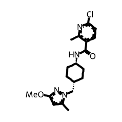 COc1cc(C)n(C[C@H]2CC[C@H](NC(=O)c3ccc(Cl)nc3C)CC2)n1